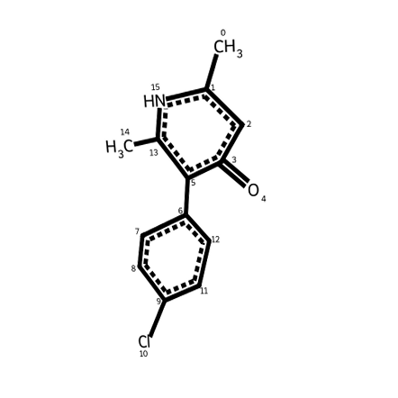 Cc1cc(=O)c(-c2ccc(Cl)cc2)c(C)[nH]1